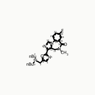 CCCCN(CCCC)Cc1cnc(-c2ncn3c2CN(C)C(=O)c2cc(F)ccc2-3)o1